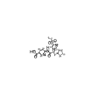 CCS(=O)(=O)c1cn(C(CC2CCCC2)C(=O)Nc2ccc(C(=O)O)cn2)cn1